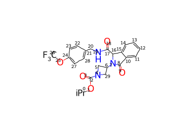 CC(C)OC(=O)N1CC(N2C(=O)c3ccccc3C2C(=O)NCc2ccc(OC(F)(F)F)cc2)C1